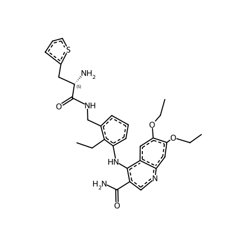 CCOc1cc2ncc(C(N)=O)c(Nc3cccc(CNC(=O)[C@@H](N)Cc4cccs4)c3CC)c2cc1OCC